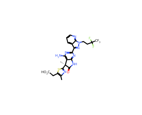 Cc1nc([C@]2(C)C(=O)Nc3nc(-c4nn(CCC(F)(F)C(F)(F)F)c5ncccc45)nc(N)c32)sc1CC(=O)O